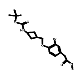 COC(=O)Cc1ccc(OCC2CC(NC(=O)OC(C)(C)C)C2)c(Br)c1